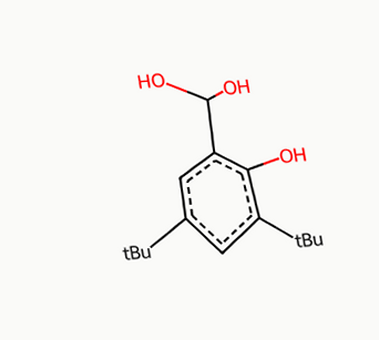 CC(C)(C)c1cc(C(O)O)c(O)c(C(C)(C)C)c1